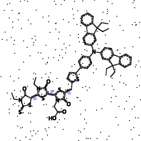 CCN1C(=O)/C(=c2/s/c(=c3/s/c(=C\c4ccc(-c5ccc(N(c6ccc7c(c6)C(CC)(CC)c6ccccc6-7)c6ccc7c(c6)C(CC)(CC)c6ccccc6-7)cc5)s4)c(=O)n3CC(=O)O)c(=O)n2CC)SC1=S